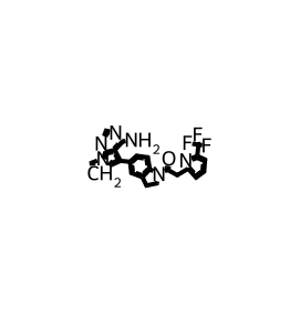 C=Cn1cc(-c2ccc3c(c2)CCN3C(=O)Cc2cccc(C(F)(F)F)n2)c2c(N)ncnc21